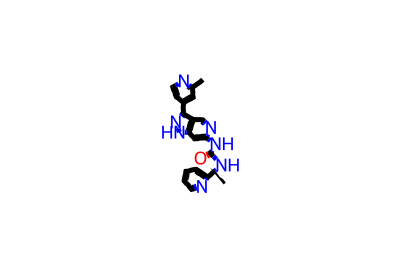 Cc1cc(-c2n[nH]c3cc(NC(=O)N[C@@H](C)c4ccccn4)ncc23)ccn1